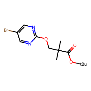 CC(C)(C)OC(=O)C(C)(C)COc1ncc(Br)cn1